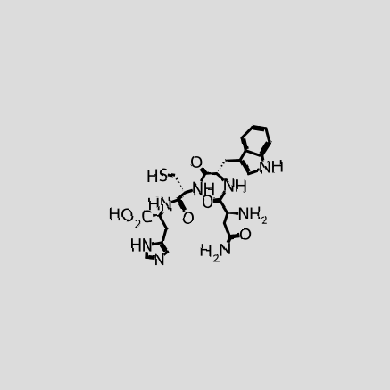 NC(=O)C[C@H](N)C(=O)N[C@@H](Cc1c[nH]c2ccccc12)C(=O)N[C@@H](CS)C(=O)N[C@@H](Cc1cnc[nH]1)C(=O)O